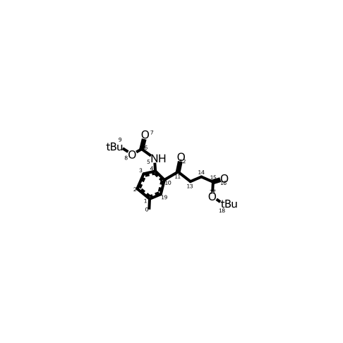 Cc1ccc(NC(=O)OC(C)(C)C)c(C(=O)CCC(=O)OC(C)(C)C)c1